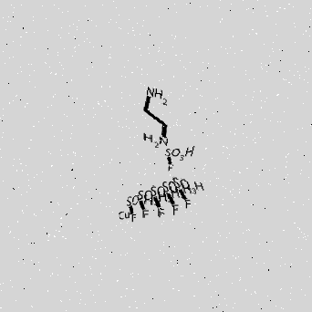 NCCN.O=S(=O)(O)F.O=S(=O)(O)F.O=S(=O)(O)F.O=S(=O)(O)F.O=S(=O)(O)F.O=S(=O)(O)F.[Cu]